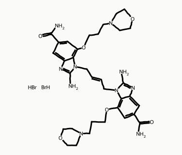 Br.Br.NC(=O)c1cc(OCCCN2CCOCC2)c2c(c1)nc(N)n2C/C=C/Cn1c(N)nc2cc(C(N)=O)cc(OCCCN3CCOCC3)c21